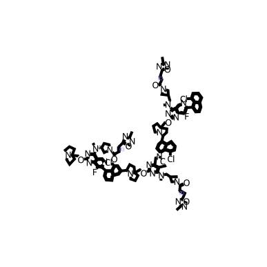 Cc1noc(/C=C/C(=O)N2CC(CN(C)c3nc(OCC45CCCN4C(c4cc(Cl)c6c(-c7ncc8c(N(C)[C@@H]9CCN(C(=O)/C=C/c%10nc(C)no%10)C9)nc(OCC9%10CCCN9CCC%10)nc8c7F)cccc6c4)CC5)nc4c3CCN(c3ccc(C5CCC6(COc7nc(N(C)CC8CN(C(=O)/C=C/c9nc(C)no9)C8)c8cnc(-c9cccc%10cccc(Cl)c9%10)c(F)c8n7)CCCN56)c5cccc(Cl)c35)C4)C2)n1